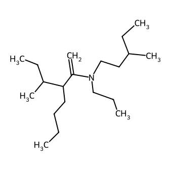 C=C(C(CCCC)C(C)CC)N(CCC)CCC(C)CC